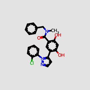 CN(Cc1ccccc1)C(=O)c1cc(-c2ccnn2-c2ccccc2Cl)c(O)cc1O